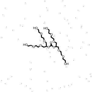 O=C(OC(COCCOCCO)COCCOCCO)OC(COCCOCCO)COCCOCCO